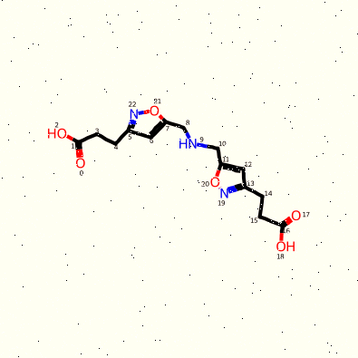 O=C(O)CCc1cc(CNCc2cc(CCC(=O)O)no2)on1